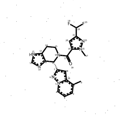 Cc1cccn2nc([C@@H]3c4nc[nH]c4CCN3C(=O)c3cc(C(F)F)nn3C)cc12